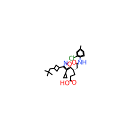 Cc1ccc(NC(=O)C[C@H](CCC(=O)O)c2onc(C3CC(CC(C)(C)C)C3)c2C2CC2)c(Cl)c1